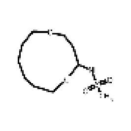 CS(=O)(=O)NC1CCCCCCCCCC1